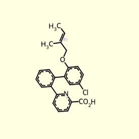 C/C=C(\C)COc1ccc(Cl)cc1-c1ccccc1-c1cccc(C(=O)O)n1